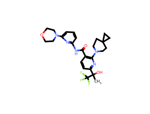 CC(O)(c1ccc(C(=O)Nc2cccc(N3CCOCC3)n2)c(N2CCC3(CC2)CC3)n1)C(F)(F)F